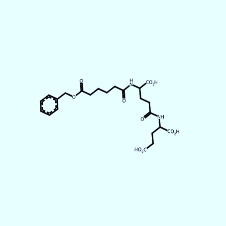 O=C(O)CCC(NC(=O)CCC(NC(=O)CCCCC(=O)OCc1ccccc1)C(=O)O)C(=O)O